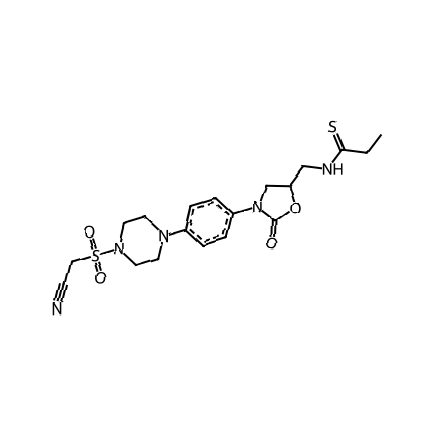 CCC(=S)NCC1CN(c2ccc(N3CCN(S(=O)(=O)CC#N)CC3)cc2)C(=O)O1